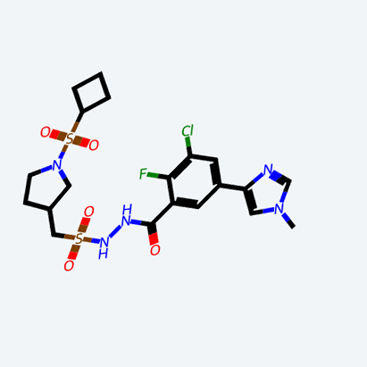 Cn1cnc(-c2cc(Cl)c(F)c(C(=O)NNS(=O)(=O)CC3CCN(S(=O)(=O)C4CCC4)C3)c2)c1